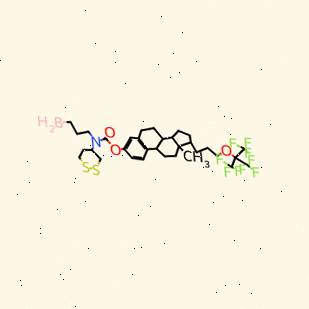 BCCCN(C(=O)Oc1ccc2c(c1)CCC1C2CCC2(C)C(CCCOC(C(F)(F)F)(C(F)(F)F)C(F)(F)F)CCC12)C1CCSSC1